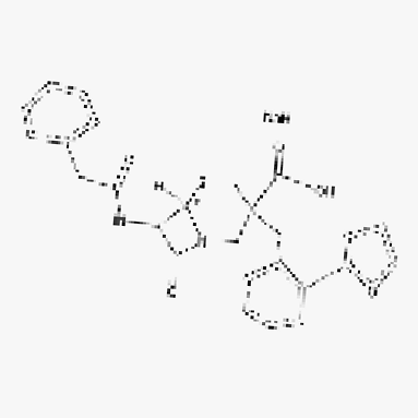 O=C(Cc1ccccc1)NC1C(=O)N2CC(Sc3ccccc3-c3ccco3)(C(=O)O)CS[C@H]12.[NaH]